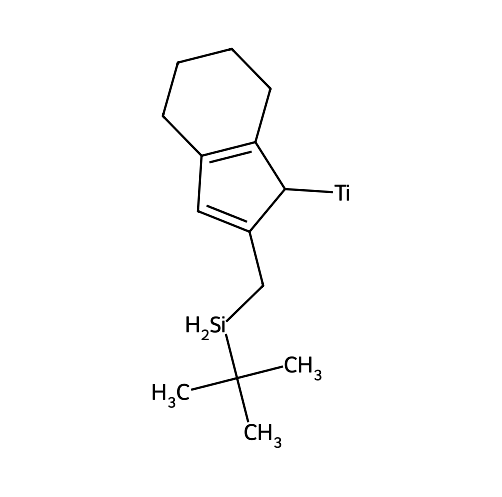 CC(C)(C)[SiH2]CC1=CC2=C(CCCC2)[CH]1[Ti]